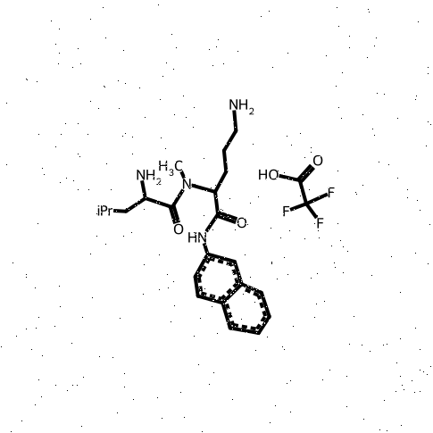 CC(C)CC(N)C(=O)N(C)C(CCCN)C(=O)Nc1ccc2ccccc2c1.O=C(O)C(F)(F)F